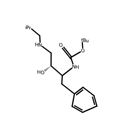 CC(C)CNC[C@@H](O)C(Cc1ccccc1)NC(=O)OC(C)(C)C